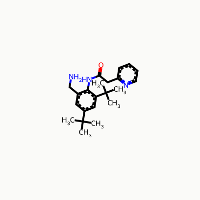 CC(C)(C)c1cc(CN)c(NC(=O)Cc2ccccn2)c(C(C)(C)C)c1